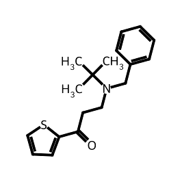 CC(C)(C)N(CCC(=O)c1cccs1)Cc1ccccc1